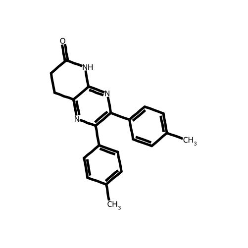 Cc1ccc(-c2nc3c(nc2-c2ccc(C)cc2)NC(=O)CC3)cc1